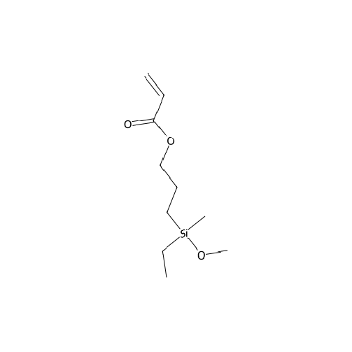 C=CC(=O)OCCC[Si](C)(CC)OC